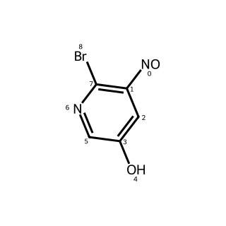 O=Nc1cc(O)cnc1Br